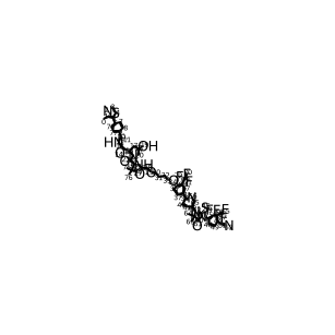 Cc1ncsc1-c1ccc([C@H](C)NC2OC2[C@@H]2C[C@@H](O)CN2C(=O)[C@@H](NC(=O)COCCCCOc2ccc(-c3ccc(N4C(=S)N(c5ccc(C#N)c(C(F)(F)F)c5F)C(=O)C4(C)C)cn3)cc2C(F)(F)F)C(C)(C)C)cc1